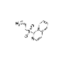 C=CCS(=O)(=O)c1nccc2ccccc12